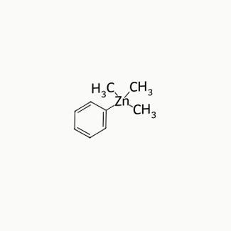 [CH3][Zn]([CH3])([CH3])[c]1ccccc1